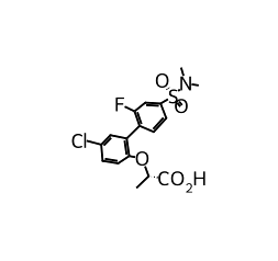 C[C@H](Oc1ccc(Cl)cc1-c1ccc(S(=O)(=O)N(C)C)cc1F)C(=O)O